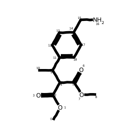 COC(=O)C(C(=O)OC)C(C)c1ccc(CN)cc1